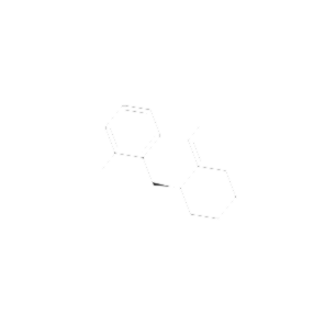 O=C(O)C=C1CCCC[C@H]1Cc1ccccc1Br